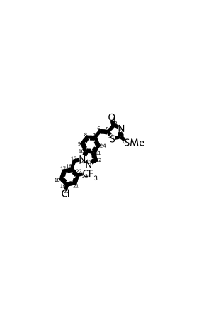 CSC1=NC(=O)C(=Cc2ccc3c(cnn3Cc3ccc(Cl)cc3C(F)(F)F)c2)S1